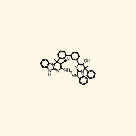 CC1(c2ccccc2)C(O)=C(c2cccc(-c3cccc(C4(C)C(C#N)=C(N)N=C5Nc6ccccc6N54)c3)c2)N=C2Nc3ccccc3N21